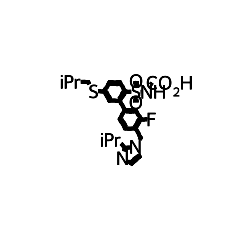 CC(C)CSc1ccc(S(=O)(=O)NC(=O)O)c(-c2ccc(Cn3ccnc3C(C)C)c(F)c2)c1